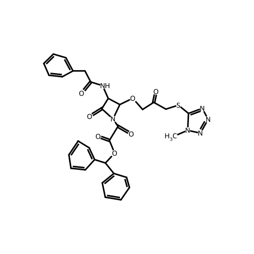 Cn1nnnc1SCC(=O)COC1C(NC(=O)Cc2ccccc2)C(=O)N1C(=O)C(=O)OC(c1ccccc1)c1ccccc1